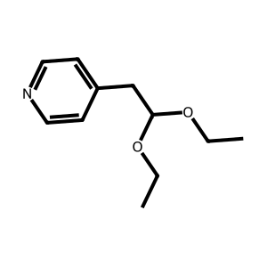 CCO[C](Cc1ccncc1)OCC